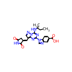 CCC(C)Nc1nc(-n2cnc3cc(C(=O)O)ccc32)nc2c(/C=C3\CC(=O)NC3=O)cnn12